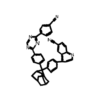 N#Cc1ccc(-c2ncnc(-c3ccc(C4(c5ccc(-c6ccnc7ccc(C#N)cc67)cc5)C5CC6CC(C5)CC4C6)cc3)n2)cc1